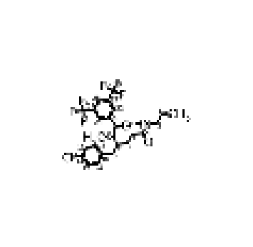 C=CCNC(=O)CCC(Cc1ccc(Cl)cc1)N(C)C(=O)c1cc(C(F)(F)F)cc(C(F)(F)F)c1